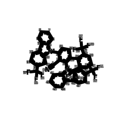 N#Cc1c(-n2c3ccccc3c3ccc(C(F)(F)F)cc32)ccc(-c2c(C(F)(F)F)cccc2C(F)(F)F)c1-n1c2ccccc2c2ccc(C(F)(F)F)cc21